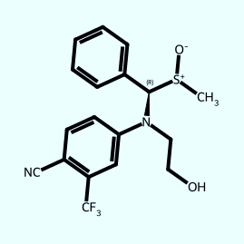 C[S+]([O-])[C@H](c1ccccc1)N(CCO)c1ccc(C#N)c(C(F)(F)F)c1